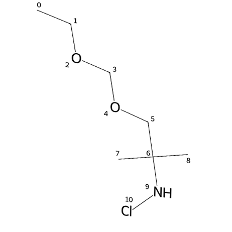 CCOCOCC(C)(C)NCl